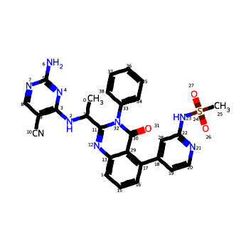 CC(Nc1nc(N)ncc1C#N)c1nc2cccc(-c3ccnc(NS(C)(=O)=O)c3)c2c(=O)n1-c1ccccc1